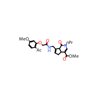 CCCN1C=C(C(=O)OC)C2CC=C(CNC(=O)COc3cc(OC)ccc3C(C)=O)C2C1=O